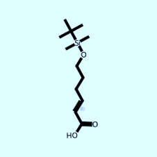 CC(C)(C)[Si](C)(C)OCCC/C=C/C(=O)O